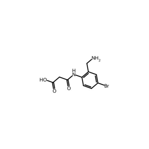 NCc1cc(Br)ccc1NC(=O)CC(=O)O